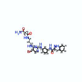 CC(C)(C(N)=O)C(=O)NCCCNc1nc(Nc2cccc(NC(=O)[C@@H](N)Cc3ccccc3)c2)ncc1Br